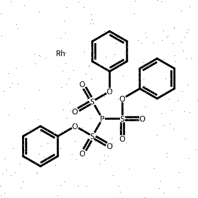 O=S(=O)(Oc1ccccc1)P(S(=O)(=O)Oc1ccccc1)S(=O)(=O)Oc1ccccc1.[Rh]